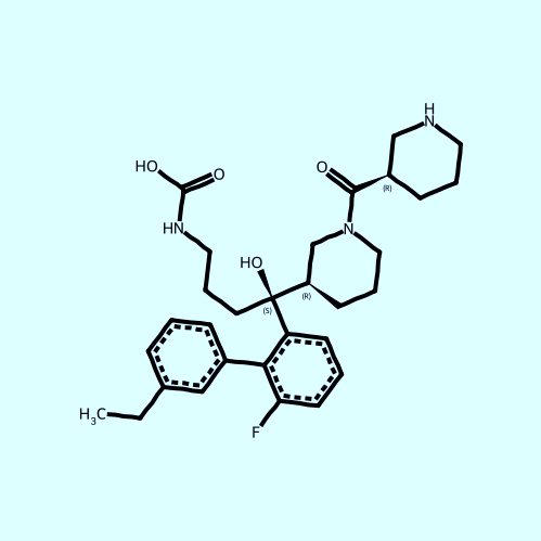 CCc1cccc(-c2c(F)cccc2[C@](O)(CCCNC(=O)O)[C@@H]2CCCN(C(=O)[C@@H]3CCCNC3)C2)c1